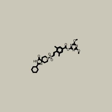 COc1nc(OC)nc(OC(=O)c2cc(C)c(C=CS(=O)(=O)N3CCC4(CC3)N=C(C3CCCCC3)NC4=O)c(C)c2)n1